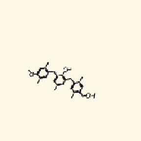 COc1cc(C)c(Cc2cc(C)cc(Cc3cc(C)c(CO)cc3C)c2OC)cc1C